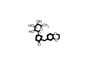 C[C@@H]1O[C@@H](c2ccc(Cl)c(Cc3ccc4c(c3)OCCO4)c2)[C@H](O)[C@@H](O)[C@@H]1O